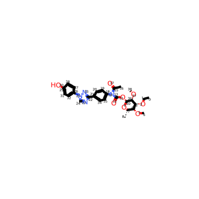 CCO[C@@H]1[C@@H](OC)[C@H](C)O[C@@H](OC(=O)N(C(C)=O)c2ccc(-c3ncn(-c4ccc(O)cc4)n3)cc2)[C@@H]1OC